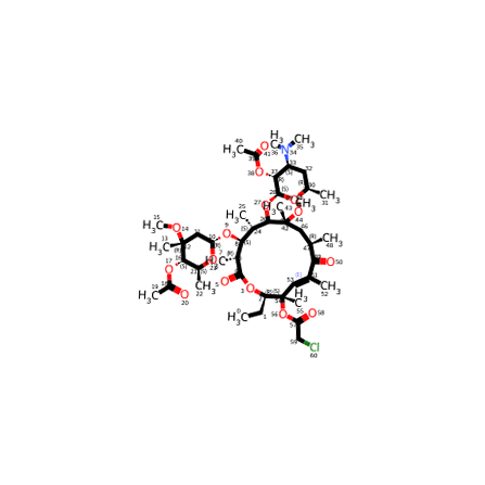 CC[C@H]1OC(=O)[C@H](C)[C@@H](O[C@H]2C[C@@](C)(OC)[C@@H](OC(C)=O)[C@H](C)O2)[C@H](C)C(O[C@@H]2O[C@H](C)C[C@H](N(C)C)[C@H]2OC(C)=O)[C@](C)(OC)C[C@@H](C)C(=O)/C(C)=C/[C@]1(C)OC(=O)CCl